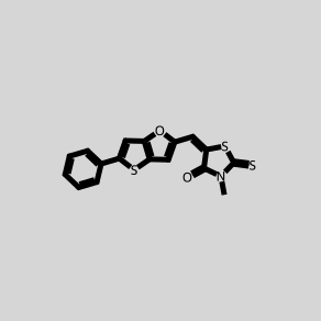 CN1C(=O)/C(=C\c2cc3sc(-c4ccccc4)cc3o2)SC1=S